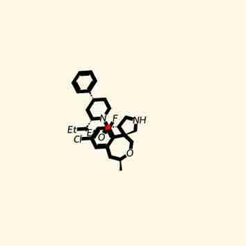 CCC(CC)[C@@H]1C[C@H](c2ccccc2)CCN1C(=O)[C@@H]1CNC[C@]12CO[C@@H](C)Cc1cc(Cl)cc(F)c12